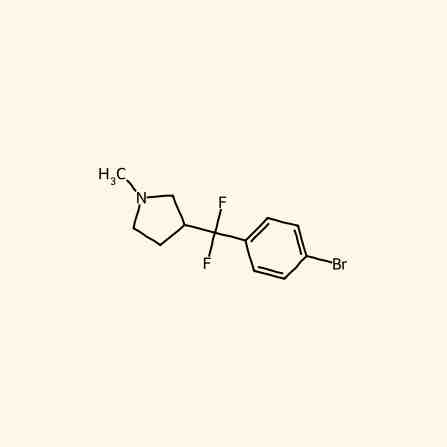 CN1CCC(C(F)(F)c2ccc(Br)cc2)C1